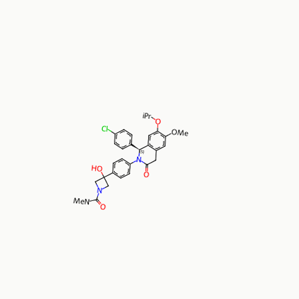 CNC(=O)N1CC(O)(c2ccc(N3C(=O)Cc4cc(OC)c(OC(C)C)cc4[C@@H]3c3ccc(Cl)cc3)cc2)C1